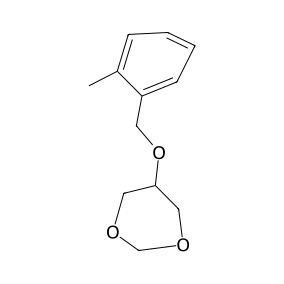 Cc1ccccc1COC1COCOC1